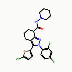 O=C(NN1CCCCC1)C1CCCc2c1nn(-c1ccc(Cl)cc1Cl)c2-c1ccc(Cl)s1